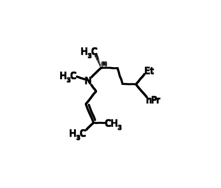 CCCC(CC)CC[C@@H](C)N(C)CC=C(C)C